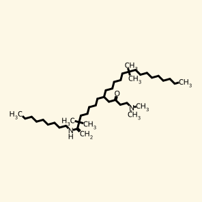 C=C(NCCCCCCCCC)C(C)(C)CCCCCC(CCCCCC(C)(C)CCCCCCCCC)CC(=O)CCN(C)C